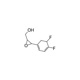 OCC1OC1C1=CC=C(F)C(F)C1